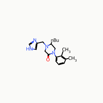 CCCCC1CN(c2cccc(C)c2C)C(=O)CN1Cc1c[nH]cn1